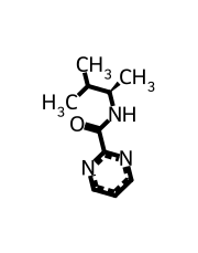 CC(C)[C@@H](C)NC(=O)c1ncccn1